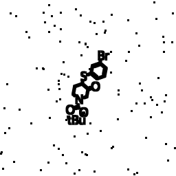 CC(C)(C)OC(=O)N1CCC(Sc2cccc(Br)c2)C(=O)C1